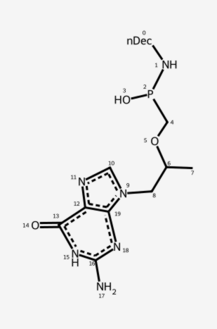 CCCCCCCCCCNP(O)COC(C)Cn1cnc2c(=O)[nH]c(N)nc21